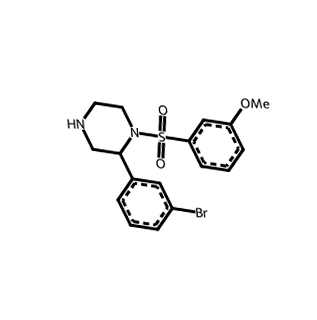 COc1cccc(S(=O)(=O)N2CCNCC2c2cccc(Br)c2)c1